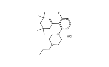 CCCN1CCN(c2cccc(F)c2C2=CC(C)(C)CC(C)(C)C2)CC1.Cl